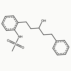 CS(=O)(=O)Nc1ccccc1CCC(O)CCc1ccccc1